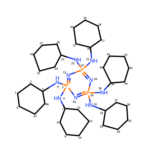 C1CCC(NP2(NC3CCCCC3)=NP(NC3CCCCC3)(NC3CCCCC3)=NP(NC3CCCCC3)(NC3CCCCC3)=N2)CC1